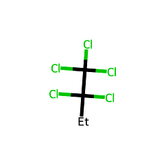 CCC(Cl)(Cl)C(Cl)(Cl)Cl